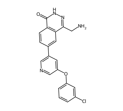 NCc1n[nH]c(=O)c2ccc(-c3cncc(Oc4cccc(Cl)c4)c3)cc12